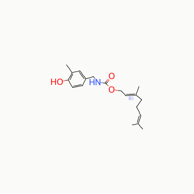 CC(C)=CCC/C(C)=C/COC(=O)NCc1ccc(O)c(C)c1